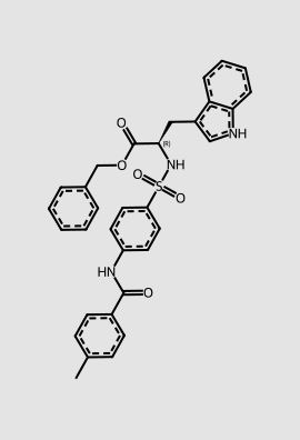 Cc1ccc(C(=O)Nc2ccc(S(=O)(=O)N[C@H](Cc3c[nH]c4ccccc34)C(=O)OCc3ccccc3)cc2)cc1